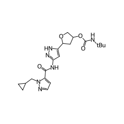 CC(C)(C)NC(=O)OC1COC(c2cc(NC(=O)c3ccnn3CC3CC3)n[nH]2)C1